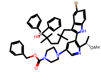 CO[C@@H](C)c1ncc(N2CCN(C(=O)OCc3ccccc3)CC2)cc1-c1[nH]c2ccc(Br)cc2c1CC(C)(C)CCC(C)(C)[Si](O)(c1ccccc1)c1ccccc1